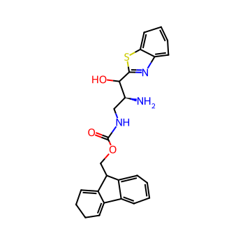 N[C@@H](CNC(=O)OCC1C2=CCCC=C2c2ccccc21)C(O)c1nc2ccccc2s1